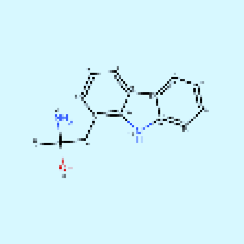 CC(N)(O)Cc1cccc2c1[nH]c1ccccc12